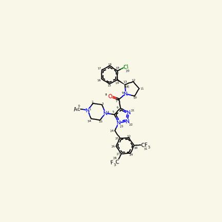 CC(=O)N1CCN(c2c(C(=O)N3CCC[C@@H]3c3ccccc3Cl)nnn2Cc2cc(C(F)(F)F)cc(C(F)(F)F)c2)CC1